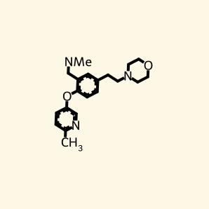 CNCc1cc(CCN2CCOCC2)ccc1Oc1ccc(C)nc1